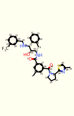 Cc1cc(C(=O)N[C@@H](Cc2ccccc2)[C@H](O)CNCc2cccc(C(F)(F)F)c2)cc(C(=O)N2CCCC2c2nc(C)cs2)c1